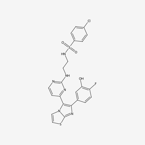 O=S(=O)(NCCNc1nccc(-c2c(-c3ccc(F)c(O)c3)nc3sccn23)n1)c1ccc(Cl)cc1